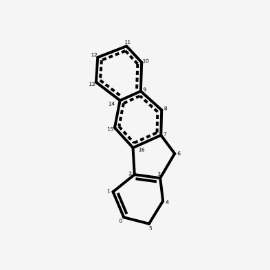 C1=CC2=C(CC1)Cc1cc3ccccc3cc12